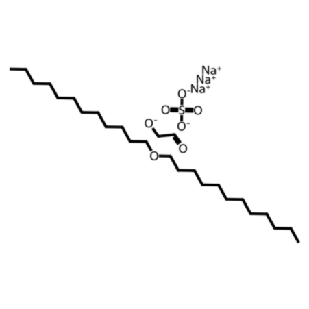 CCCCCCCCCCCCOCCCCCCCCCCCC.O=CC[O-].O=S(=O)([O-])[O-].[Na+].[Na+].[Na+]